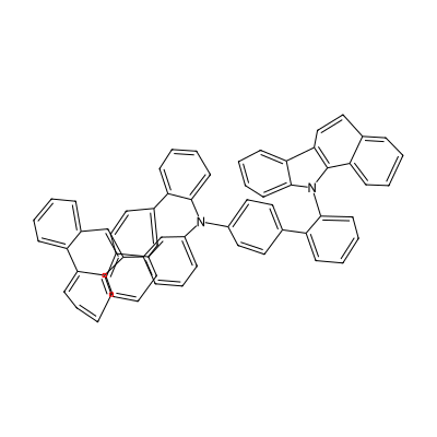 c1cc(-c2cc3ccccc3c3ccccc23)cc(N(c2ccc(-c3ccccc3-n3c4ccccc4c4ccc5ccccc5c43)cc2)c2ccccc2-c2ccc3ccccc3c2)c1